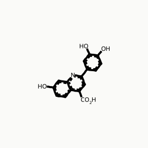 O=C(O)c1cc(-c2ccc(O)c(O)c2)nc2cc(O)ccc12